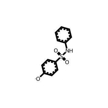 [O]c1ccc(S(=O)(=O)Nc2ccccc2)cc1